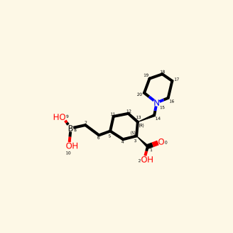 O=C(O)[C@H]1CC(CCB(O)O)CC[C@H]1CN1CCCCC1